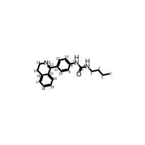 CCCCNC(=O)Nc1ccc(C2=NCCc3ccccc32)cc1